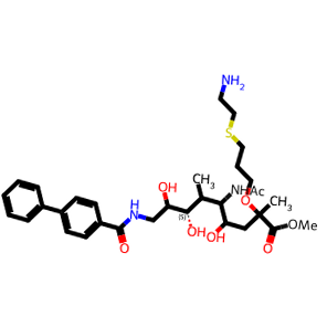 COC(=O)C(C)(CC(O)C(NC(C)=O)C(C)[C@H](O)C(O)CNC(=O)c1ccc(-c2ccccc2)cc1)OCCCSCCN